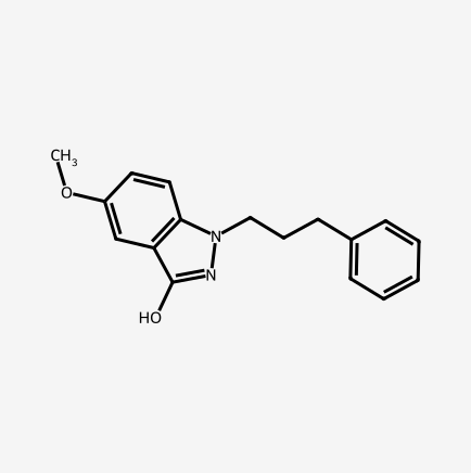 COc1ccc2c(c1)c(O)nn2CCCc1ccccc1